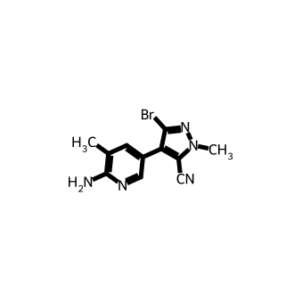 Cc1cc(-c2c(Br)nn(C)c2C#N)cnc1N